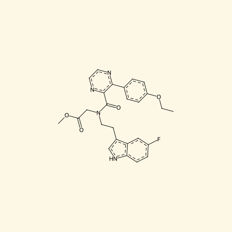 CCOc1ccc(-c2nccnc2C(=O)N(CCc2c[nH]c3ccc(F)cc23)CC(=O)OC)cc1